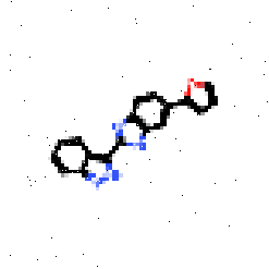 c1coc(-c2ccc3nc(-c4[nH]nc5ccccc45)[nH]c3c2)c1